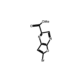 COC(=O)c1cnc2oc(Br)cc2n1